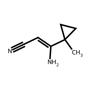 CC1(C(N)=CC#N)CC1